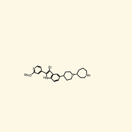 CCc1c(-c2ccnc(OC)c2)[nH]c2ccc(C3CCN([C@H]4CCCNCC4)CC3)cc12